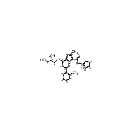 Cc1nc2c(OC[C@H](O)CO)cc(-c3ccccc3C(F)(F)F)nn2c1C(=O)Nc1ccc[nH]1